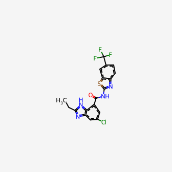 CCc1nc2cc(Cl)cc(C(=O)Nc3nc4ccc(C(F)(F)F)cc4s3)c2[nH]1